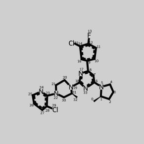 C[C@@H]1CCCN1c1cc(-c2ccc(F)c(Cl)c2)nc(N2CCN(c3ncccc3Cl)C[C@@H]2C)n1